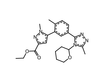 CCOC(=O)c1cc(-c2cc(-c3nnc(C)n3C3CCCCO3)ccc2C)n(C)n1